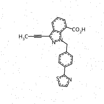 CC#Cc1nn(Cc2ccc(-c3nccs3)cc2)c2c(C(=O)O)cccc12